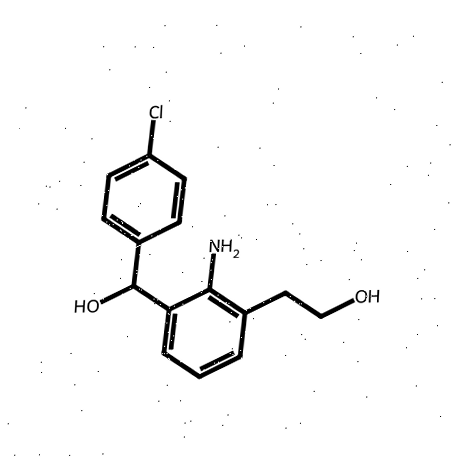 Nc1c(CCO)cccc1C(O)c1ccc(Cl)cc1